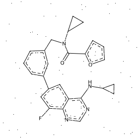 O=C(c1ccco1)N(Cc1cccc(-c2cc(F)c3ncnc(NC4CC4)c3c2)c1)C1CC1